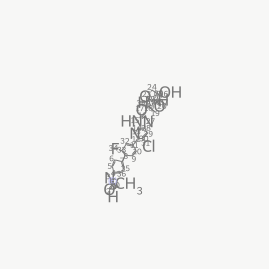 C/[SH](=O)=N\c1ccc(-c2ccc(-c3nc4[nH]c(O[C@@H]5CO[C@H]6[C@@H]5OC[C@H]6O)nc4cc3Cl)cc2F)cc1